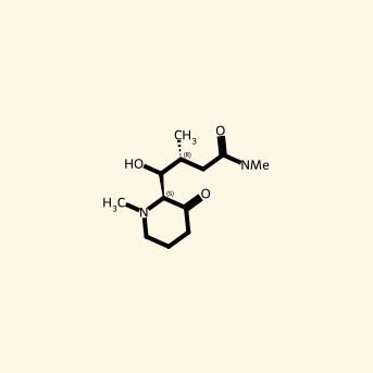 CNC(=O)C[C@@H](C)C(O)[C@H]1C(=O)CCCN1C